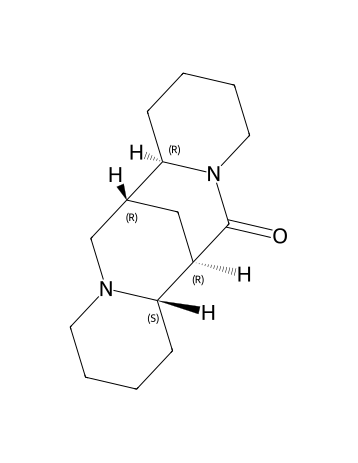 O=C1[C@@H]2C[C@H](CN3CCCC[C@@H]23)[C@H]2CCCCN12